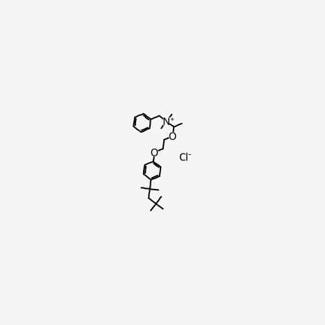 CC(OCCOc1ccc(C(C)(C)CC(C)(C)C)cc1)[N+](C)(C)Cc1ccccc1.[Cl-]